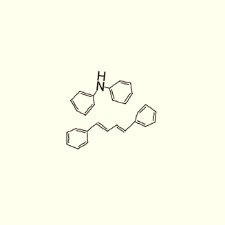 C(C=Cc1ccccc1)=Cc1ccccc1.c1ccc(Nc2ccccc2)cc1